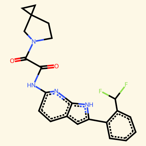 O=C(Nc1ccc2cc(-c3ccccc3C(F)F)[nH]c2n1)C(=O)N1CCC2(CC2)C1